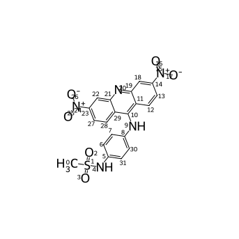 CS(=O)(=O)Nc1ccc(Nc2c3ccc([N+](=O)[O-])cc3nc3cc([N+](=O)[O-])ccc23)cc1